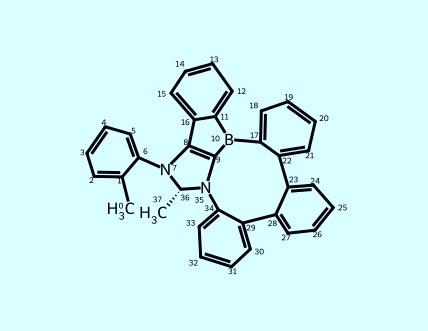 Cc1ccccc1N1C2=C3B(c4ccccc42)c2ccccc2-c2ccccc2-c2ccccc2N3[C@@H]1C